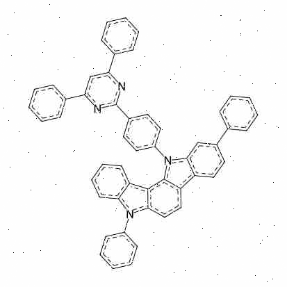 c1ccc(-c2ccc3c4ccc5c(c6ccccc6n5-c5ccccc5)c4n(-c4ccc(-c5nc(-c6ccccc6)cc(-c6ccccc6)n5)cc4)c3c2)cc1